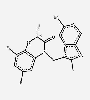 Cc1nc2cnc(Br)cn2c1CN1C(=O)[C@@H](C)Oc2c(F)cc(F)cc21